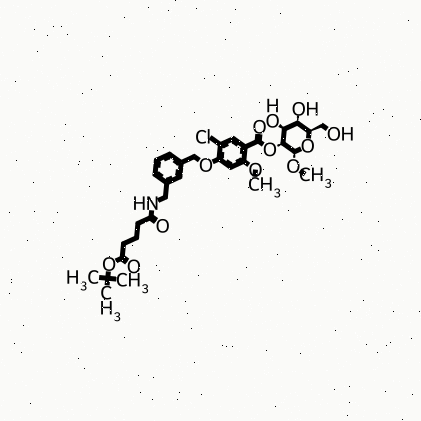 COc1cc(OCc2cccc(CNC(=O)CCCC(=O)OC(C)(C)C)c2)c(Cl)cc1C(=O)O[C@H]1[C@@H](OC)O[C@H](CO)[C@@H](O)[C@@H]1O